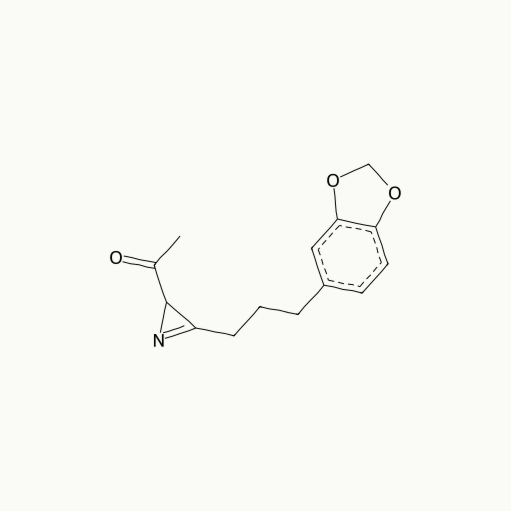 CC(=O)C1N=C1CCCc1ccc2c(c1)OCO2